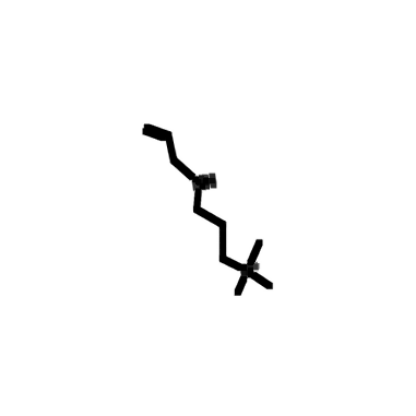 C=CCNCCC[N+](C)(C)C